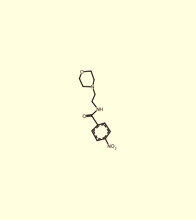 O=C(NCCN1CCOCC1)c1ccc([N+](=O)[O-])cc1